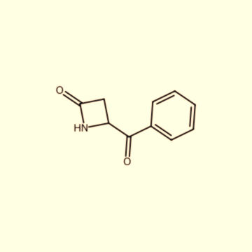 O=C1CC(C(=O)c2ccccc2)N1